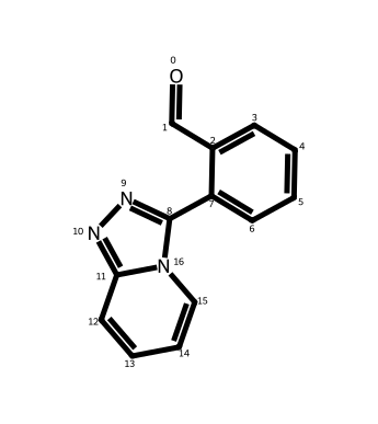 O=Cc1ccccc1-c1nnc2ccccn12